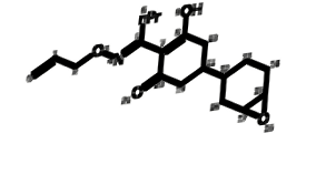 C=CCON=C(CCC)C1=C(O)CC(C2CCC3OC3C2)CC1=O